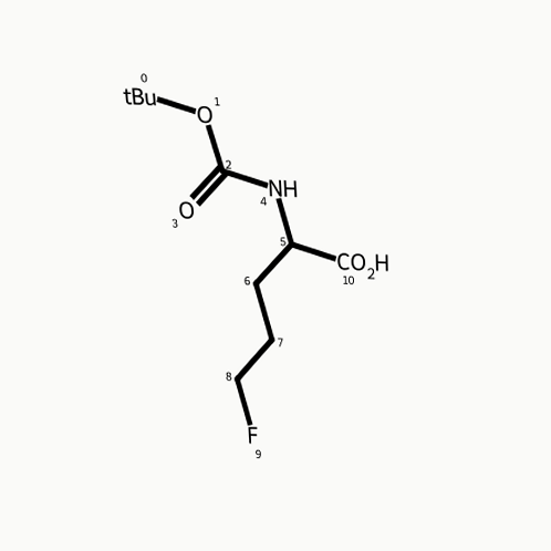 CC(C)(C)OC(=O)NC(CCCF)C(=O)O